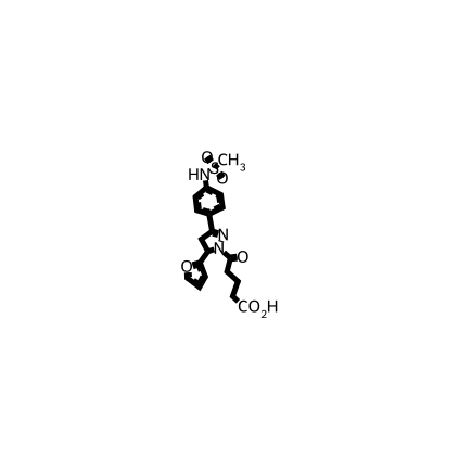 CS(=O)(=O)Nc1ccc(C2=NN(C(=O)CCCC(=O)O)C(c3ccco3)C2)cc1